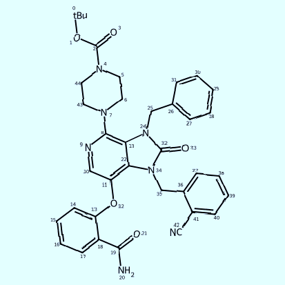 CC(C)(C)OC(=O)N1CCN(c2ncc(Oc3ccccc3C(N)=O)c3c2n(Cc2ccccc2)c(=O)n3Cc2ccccc2C#N)CC1